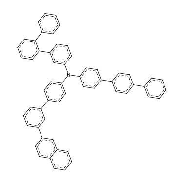 c1ccc(-c2ccc(-c3ccc(N(c4ccc(-c5cccc(-c6ccc7ccccc7c6)c5)cc4)c4cccc(-c5ccccc5-c5ccccc5)c4)cc3)cc2)cc1